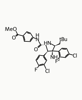 COC(=O)c1ccc(NC(=O)[C@@H]2N[C@@H](CC(C)(C)C)[C@](N)(c3ccc(Cl)cc3F)[C@H]2c2ccc(F)c(Cl)c2)cc1